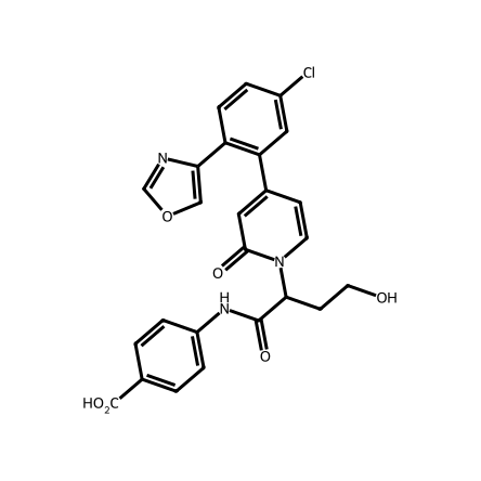 O=C(O)c1ccc(NC(=O)C(CCO)n2ccc(-c3cc(Cl)ccc3-c3cocn3)cc2=O)cc1